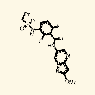 COc1cc2ncc(NC(=O)c3c(F)ccc(NS(=O)(=O)CC(C)C)c3F)cn2n1